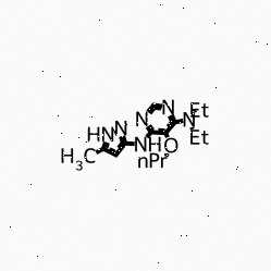 CCCOc1c(Nc2cc(C)[nH]n2)ncnc1N(CC)CC